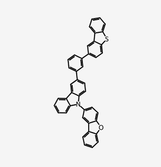 c1cc(-c2ccc3sc4ccccc4c3c2)cc(-c2ccc3c(c2)c2ccccc2n3-c2ccc3oc4ccccc4c3c2)c1